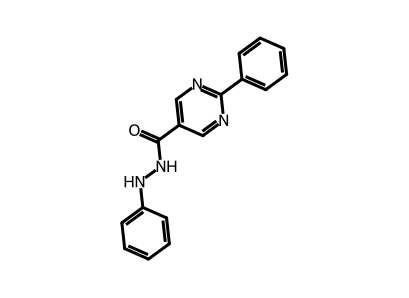 O=C(NNc1ccccc1)c1cnc(-c2ccccc2)nc1